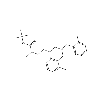 Cc1cccnc1CN(CCCCN(C)C(=O)OC(C)(C)C)Cc1ncccc1C